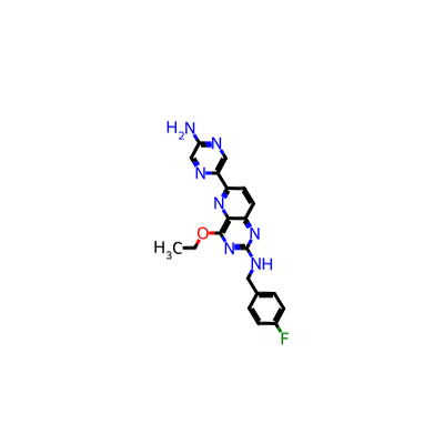 CCOc1nc(NCc2ccc(F)cc2)nc2ccc(-c3cnc(N)cn3)nc12